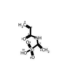 C=CC(=O)NC(=C)S(=O)(=O)O